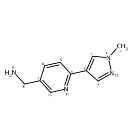 Cn1cc(-c2ccc(CN)cn2)cn1